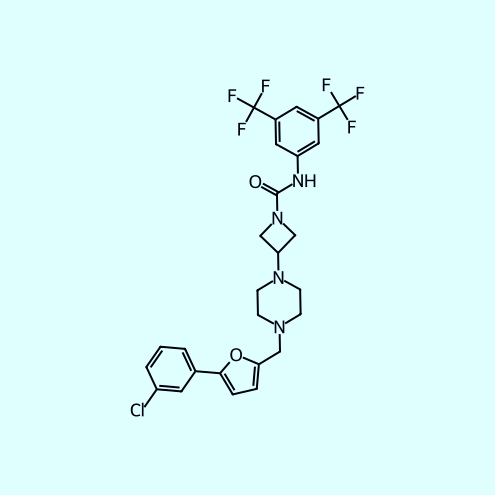 O=C(Nc1cc(C(F)(F)F)cc(C(F)(F)F)c1)N1CC(N2CCN(Cc3ccc(-c4cccc(Cl)c4)o3)CC2)C1